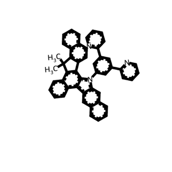 CC1(C)c2c(ccc3ccccc23)-c2c1c1ccccc1c1c3cc4ccccc4cc3n(-c3cc(-c4ccccn4)cc(-c4ccccn4)c3)c21